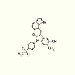 Cc1cc2c(cc1C#N)C(=Cc1cccc3cc[nH]c13)C(=O)N2c1ccc(S(C)(=O)=O)cc1